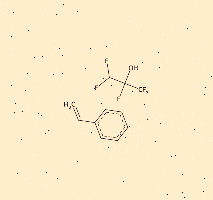 C=Cc1ccccc1.OC(F)(C(F)F)C(F)(F)F